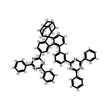 c1ccc(-c2nc(-c3ccccc3)nc(-c3cccc(-c4cccc5c4-c4cc(-c6nc(-c7ccccc7)nc(-c7ccccc7)n6)ccc4C54C5CC6CC(C5)CC4C6)c3)n2)cc1